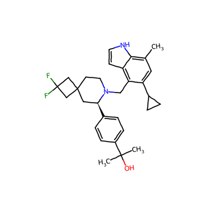 Cc1cc(C2CC2)c(CN2CCC3(C[C@@H]2c2ccc(C(C)(C)O)cc2)CC(F)(F)C3)c2cc[nH]c12